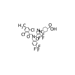 Cc1cc(Cl)c(C(=O)CN(Cc2ccc(C(F)(F)F)cc2)C(=O)c2cnn(C3CCC(C(=O)O)CC3)c2C(F)(F)F)c(Cl)c1